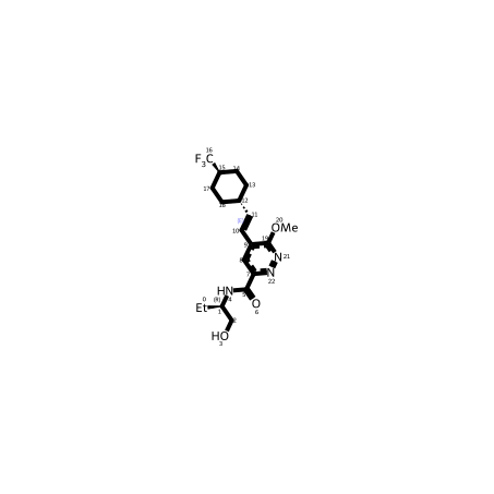 CC[C@H](CO)NC(=O)c1cc(/C=C/[C@H]2CC[C@H](C(F)(F)F)CC2)c(OC)nn1